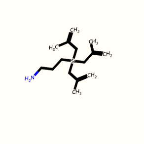 C=C(C)C[Si](CCCN)(CC(=C)C)CC(=C)C